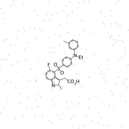 CCN(c1ccc(S(=O)(=O)c2c(F)ccc3c2=C(CC(=O)O)C(C)N=3)cc1)c1cccc(C)c1